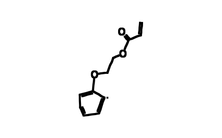 C=CC(=O)OCCOc1[c]cccc1